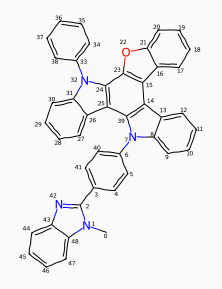 Cn1c(-c2ccc(-n3c4ccccc4c4c5c6ccccc6oc5c5c(c6ccccc6n5-c5ccccc5)c43)cc2)nc2ccccc21